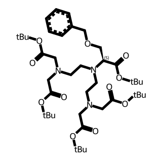 CC(C)(C)OC(=O)CN(CCN(CCN(CC(=O)OC(C)(C)C)CC(=O)OC(C)(C)C)[C@@H](COCc1ccccc1)C(=O)OC(C)(C)C)CC(=O)OC(C)(C)C